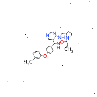 C=CC(=O)N1CCCC1CNc1ncncc1C(=N)c1ccc(Oc2cccc(C)c2)cc1